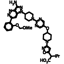 COCOc1ccccc1-c1cc2c(nn1)c(N)nn2C1CCN(c2ncc(OC3CCN(c4cc(C(C(=O)O)C(C)C)on4)CC3)cn2)CC1